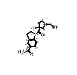 C[C](C)CN1CCC(F)(C(=O)N2CCc3cc(C(N)=O)ccc32)C1